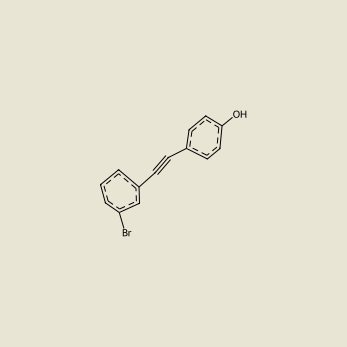 Oc1ccc(C#Cc2cccc(Br)c2)cc1